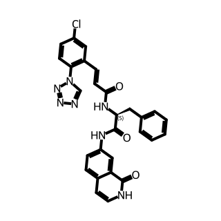 O=C(C=Cc1cc(Cl)ccc1-n1cnnn1)N[C@@H](Cc1ccccc1)C(=O)Nc1ccc2cc[nH]c(=O)c2c1